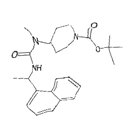 CC(NC(=O)N(C)C1CCN(C(=O)OC(C)(C)C)CC1)c1cccc2ccccc12